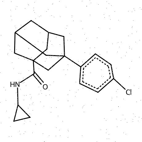 O=C(NC1CC1)C12CC3CC(C1)CC(c1ccc(Cl)cc1)(C3)C2